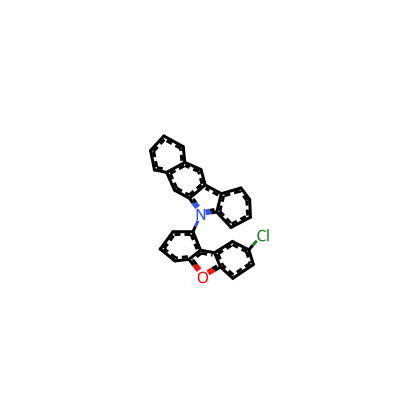 Clc1ccc2oc3cccc(-n4c5ccccc5c5cc6ccccc6cc54)c3c2c1